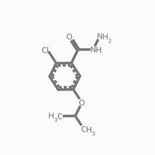 CC(C)Oc1ccc(Cl)c(C(=O)NN)c1